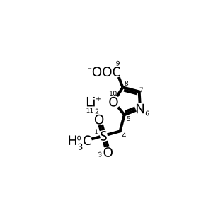 CS(=O)(=O)Cc1ncc(C(=O)[O-])o1.[Li+]